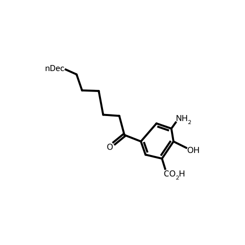 CCCCCCCCCCCCCCCC(=O)c1cc(N)c(O)c(C(=O)O)c1